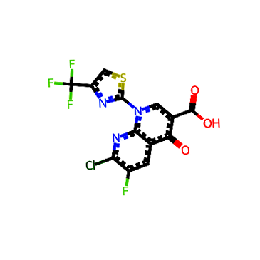 O=C(O)c1cn(-c2nc(C(F)(F)F)cs2)c2nc(Cl)c(F)cc2c1=O